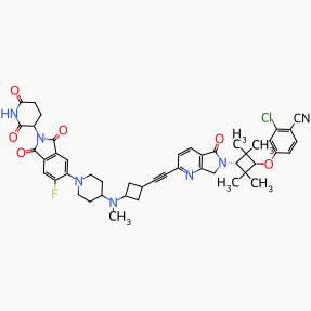 CN(C1CCN(c2cc3c(cc2F)C(=O)N(C2CCC(=O)NC2=O)C3=O)CC1)C1CC(C#Cc2ccc3c(n2)CN([C@H]2C(C)(C)[C@H](Oc4ccc(C#N)c(Cl)c4)C2(C)C)C3=O)C1